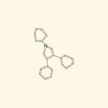 c1ccc(-c2cn(-c3ccccc3)cc2-c2ccccc2)cc1